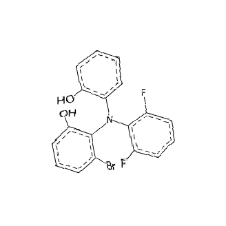 Oc1ccccc1N(c1c(F)cccc1F)c1c(O)cccc1Br